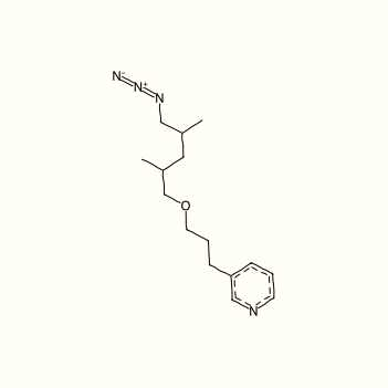 CC(CN=[N+]=[N-])CC(C)COCCCc1cccnc1